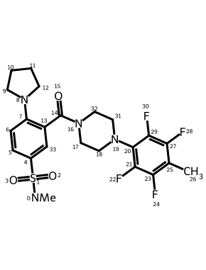 CNS(=O)(=O)c1ccc(N2CCCC2)c(C(=O)N2CCN(c3c(F)c(F)c(C)c(F)c3F)CC2)c1